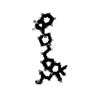 CC(C)(C)C(=O)CN1C(=O)C(C)(C)Cc2cc(CCN3CCN(c4nsc5ccccc45)CC3)ccc21